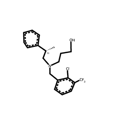 C[C@H](CN(CCCO)Cc1cccc(C(F)(F)F)c1Cl)c1ccccc1